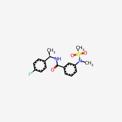 C[C@@H](NC(=O)c1cccc(N(C)S(C)(=O)=O)c1)c1ccc(F)cc1